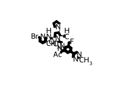 C#C[C@@H]1[C@@H](CN2CCCC2)C[C@@H](C(=O)Nc2nc(Br)ccc2C)N1C(=O)Cn1nc(C(C)=O)c2cc(-c3cnc(C)nc3)cc(CF)c21